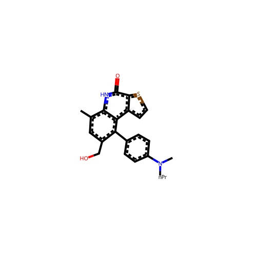 CCCN(C)c1ccc(-c2c(CO)cc(C)c3[nH]c(=O)c4sccc4c23)cc1